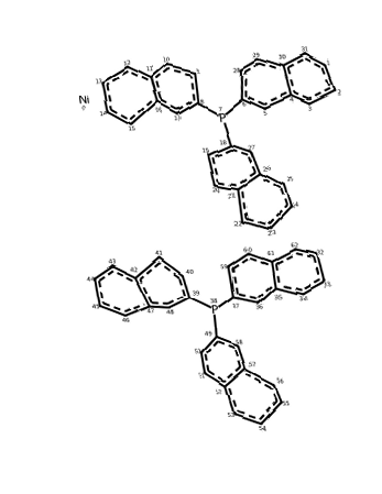 [Ni].c1ccc2cc(P(c3ccc4ccccc4c3)c3ccc4ccccc4c3)ccc2c1.c1ccc2cc(P(c3ccc4ccccc4c3)c3ccc4ccccc4c3)ccc2c1